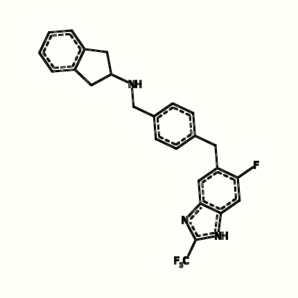 Fc1cc2[nH]c(C(F)(F)F)nc2cc1Cc1ccc(CNC2Cc3ccccc3C2)cc1